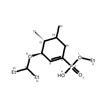 CCOP(=O)(O)C1=C[C@@H](OC(CC)CC)[C@H](C)C(C)C1